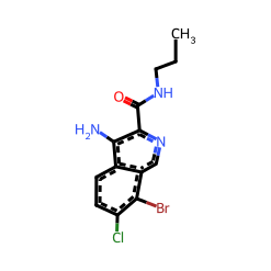 CCCNC(=O)c1ncc2c(Br)c(Cl)ccc2c1N